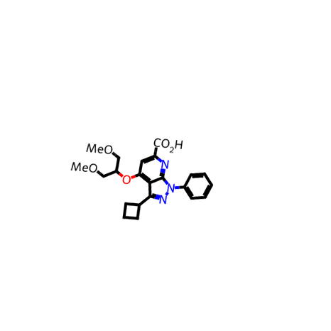 COCC(COC)Oc1cc(C(=O)O)nc2c1c(C1CCC1)nn2-c1ccccc1